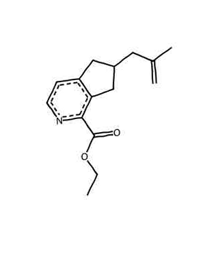 C=C(C)CC1Cc2ccnc(C(=O)OCC)c2C1